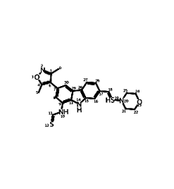 Cc1noc(C)c1-c1cc(NC=S)c2[nH]c3cc(C=[SH]N4CCOCC4)ccc3c2c1